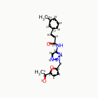 CC(=O)c1ccc(Cn2ncc(NC(=O)/C=C/c3cccc(C)c3)n2)o1